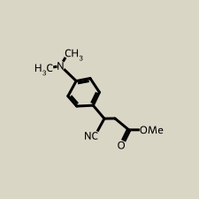 COC(=O)CC(C#N)c1ccc(N(C)C)cc1